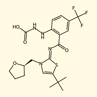 CC(C)(C)c1cn(C[C@H]2CCCO2)/c(=N/C(=O)c2cc(C(F)(F)F)ccc2NNC(=O)O)s1